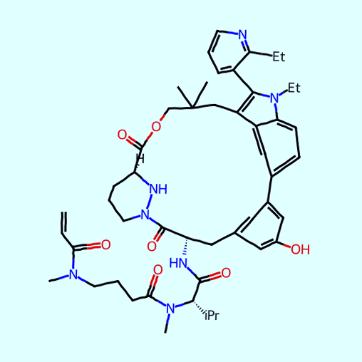 C=CC(=O)N(C)CCCC(=O)N(C)[C@H](C(=O)N[C@H]1Cc2cc(O)cc(c2)-c2ccc3c(c2)c(c(-c2cccnc2CC)n3CC)CC(C)(C)COC(=O)[C@@H]2CCCN(N2)C1=O)C(C)C